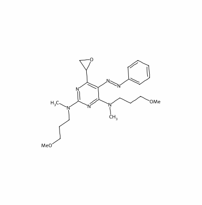 COCCCN(C)c1nc(C2CO2)c(N=Nc2ccccc2)c(N(C)CCCOC)n1